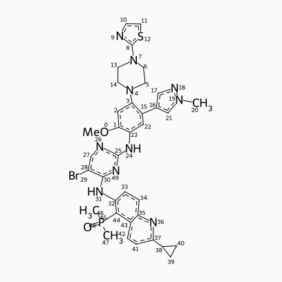 COc1cc(N2CCN(c3nccs3)CC2)c(-c2cnn(C)c2)cc1Nc1ncc(Br)c(Nc2ccc3nc(C4CC4)ccc3c2P(C)(C)=O)n1